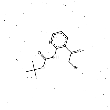 CC(C)(C)OC(=O)Nc1ncccc1C(=N)CBr